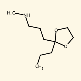 CCCC1(CCCNC)OCCO1